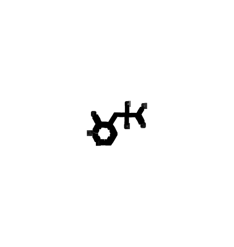 O=C(Cl)C(Cl)(Cl)Cc1ccn[nH]c1=O